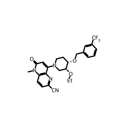 CCO[C@H]1CN(c2cc(=O)n(C)c3ccc(C#N)nc23)CC[C@@H]1OCc1cccc(C(F)(F)F)c1